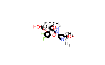 C[C@H]1[C@@H](c2ccc(F)c(F)c2OCCO)[C@H](C(=O)Nc2ccnc(C(C)(C)O)c2)O[C@@]1(C)C(F)(F)F